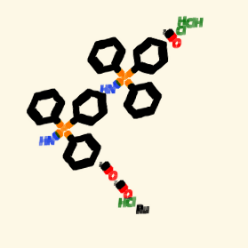 Cl.Cl.Cl.N=P(c1ccccc1)(c1ccccc1)c1ccccc1.N=P(c1ccccc1)(c1ccccc1)c1ccccc1.[C]=O.[C]=O.[C]=O.[Ru]